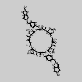 CC(=O)N1Cc2cn(Cc3ccc(C[C@H]4OC(=O)[C@H](CC(C)C)N(C)C(=O)[C@@H](C)OC(=O)[C@H](CC(C)C)N(C)C(=O)[C@@H](Cc5ccc(Cn6cc7c(n6)CN(C(C)=O)C7)cc5)OC(=O)[C@H](CC(C)C)N(C)C(=O)[C@@H](C)OC(=O)[C@H](CC(C)C)N(C)C4=O)cc3)nc2C1